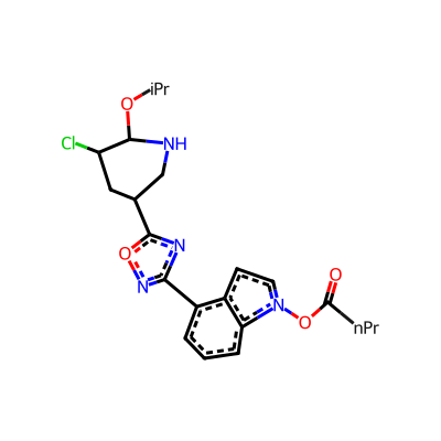 CCCC(=O)On1ccc2c(-c3noc(C4CNC(OC(C)C)C(Cl)C4)n3)cccc21